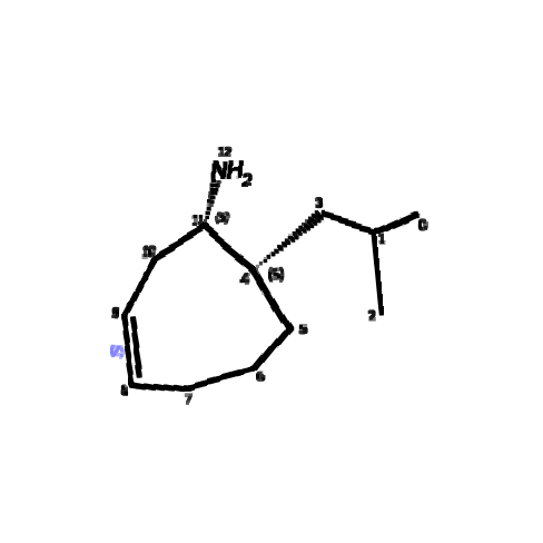 CC(C)C[C@@H]1CCC/C=C\C[C@@H]1N